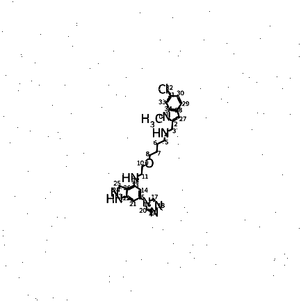 Cn1c(CNCCCCOCCNc2cc(-n3cnnc3)cc3[nH]ncc23)cc2ccc(Cl)cc21